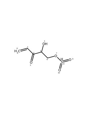 C=CC(=O)C(O)CO[SH](=O)=O